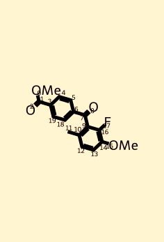 COC(=O)c1ccc(C(=O)c2c(C)ccc(OC)c2F)cc1